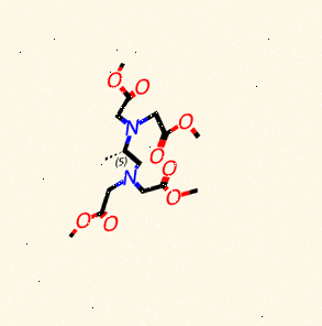 COC(=O)CN(CC(=O)OC)C[C@H](C)N(CC(=O)OC)CC(=O)OC